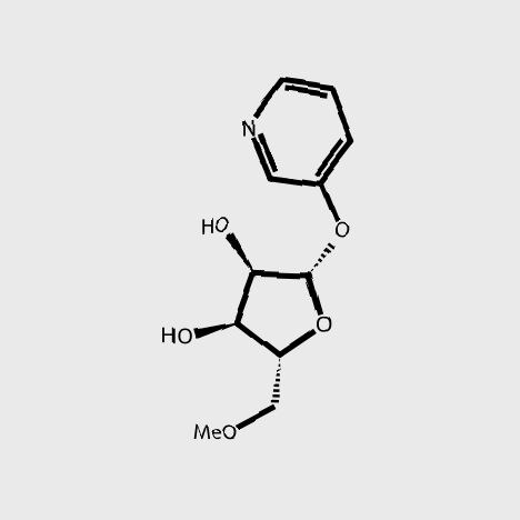 COC[C@H]1O[C@@H](Oc2cccnc2)[C@H](O)[C@@H]1O